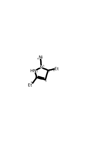 CCC1=CC(CC)[N]([Ni])N1